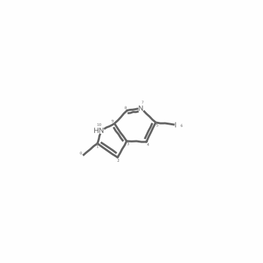 Cc1cc2cc(I)ncc2[nH]1